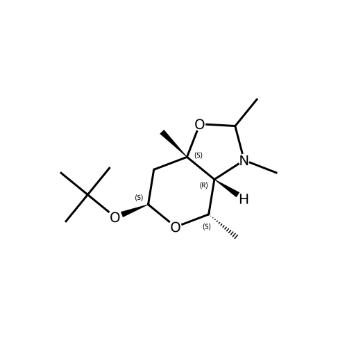 CC1O[C@@]2(C)C[C@H](OC(C)(C)C)O[C@@H](C)[C@H]2N1C